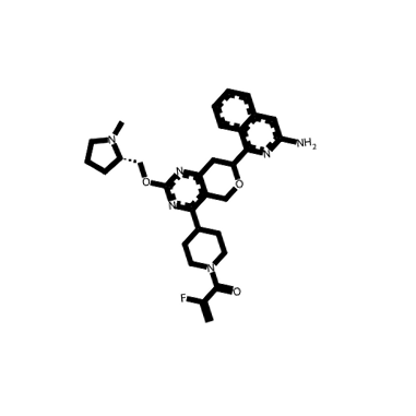 C=C(F)C(=O)N1CCC(c2nc(OC[C@@H]3CCCN3C)nc3c2COC(c2nc(N)cc4ccccc24)C3)CC1